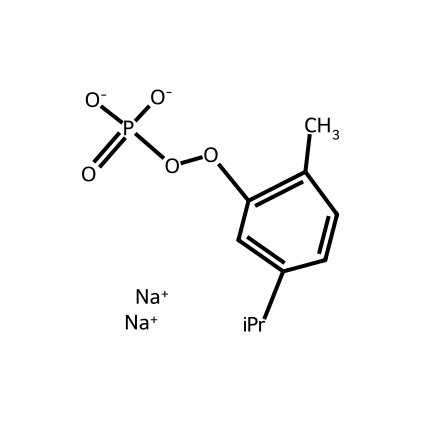 Cc1ccc(C(C)C)cc1OOP(=O)([O-])[O-].[Na+].[Na+]